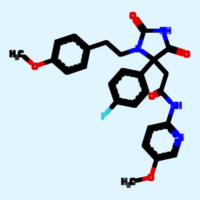 COc1ccc(CCN2C(=O)NC(=O)C2(CC(=O)Nc2ccc(OC)cn2)c2ccc(F)cc2)cc1